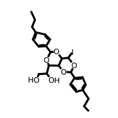 CCCc1ccc(C2OC(C(O)CO)C3OC(c4ccc(CCC)cc4)OC(I)C3O2)cc1